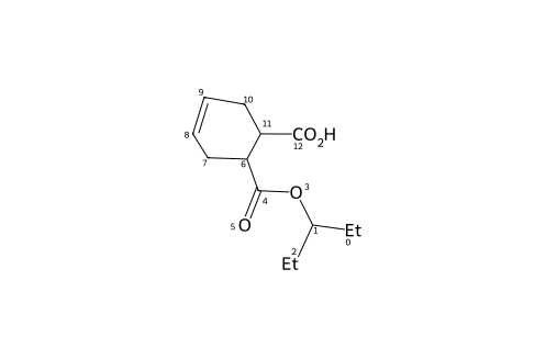 CCC(CC)OC(=O)C1CC=CCC1C(=O)O